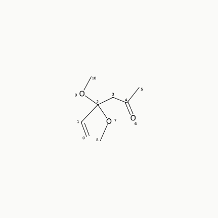 C=CC(CC(C)=O)(OC)OC